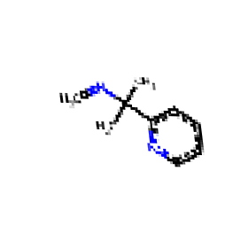 C=NC(C)(C)c1ccccn1